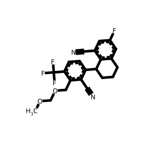 COCOCc1c(C(F)(F)F)ccc(C2CCCc3cc(F)cc(C#N)c32)c1C#N